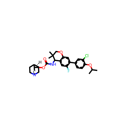 CC(C)Oc1ccc(-c2cc3c(cc2F)C(NC(=O)O[C@H]2CN4CCC2CC4)C(C)(C)CO3)cc1Cl